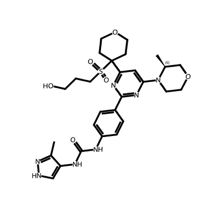 Cc1n[nH]cc1NC(=O)Nc1ccc(-c2nc(N3CCOC[C@@H]3C)cc(C3(S(=O)(=O)CCCO)CCOCC3)n2)cc1